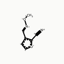 CON=Cc1ccoc1C#N